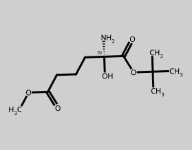 COC(=O)CCC[C@](N)(O)C(=O)OC(C)(C)C